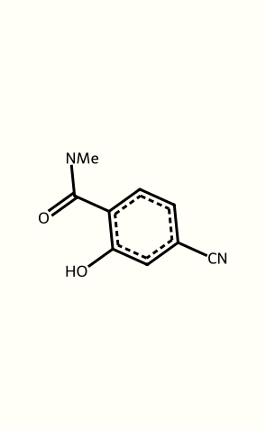 CNC(=O)c1ccc(C#N)cc1O